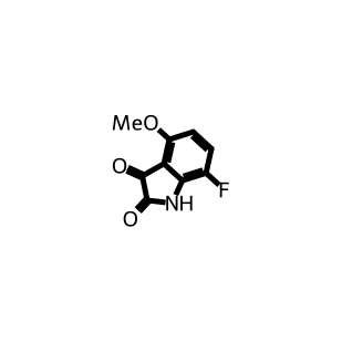 COc1ccc(F)c2c1C(=O)C(=O)N2